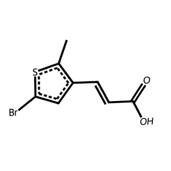 Cc1sc(Br)cc1/C=C/C(=O)O